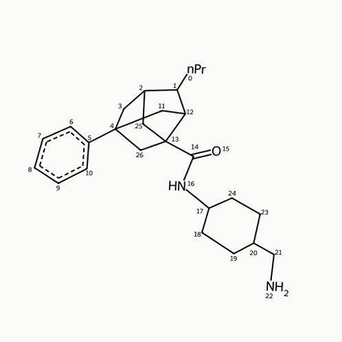 CCCC1C2CC3(c4ccccc4)CC1C(C(=O)NC1CCC(CN)CC1)(C2)C3